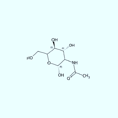 CC(=O)NC1[C@H](O)OC(CO)[C@@H](O)[C@@H]1O